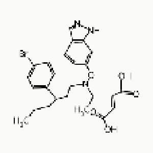 CCCC(CCN(CC)Oc1ccc2cn[nH]c2c1)c1ccc(Br)cc1.O=C(O)C=CC(=O)O